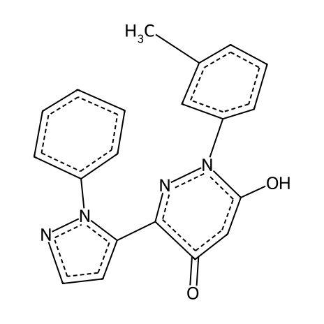 Cc1cccc(-n2nc(-c3ccnn3-c3ccccc3)c(=O)cc2O)c1